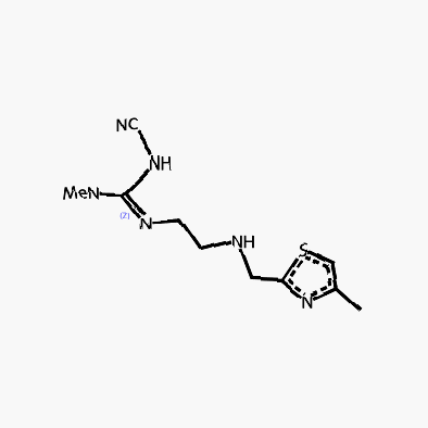 CN/C(=N/CCNCc1nc(C)cs1)NC#N